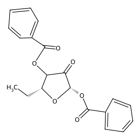 CC[C@H]1O[C@@H](OC(=O)c2ccccc2)C(=O)C1OC(=O)c1ccccc1